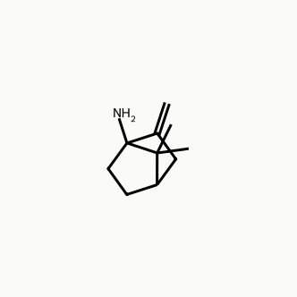 C=C1CC2CCC1(N)C2(C)C